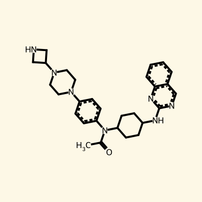 CC(=O)N(c1ccc(N2CCN(C3CNC3)CC2)cc1)C1CCC(Nc2ncc3ccccc3n2)CC1